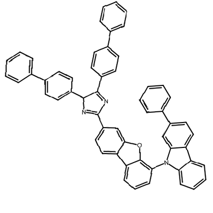 c1ccc(-c2ccc(C3=NC(c4ccc5c(c4)oc4c(-n6c7ccccc7c7ccc(-c8ccccc8)cc76)cccc45)=NC3c3ccc(-c4ccccc4)cc3)cc2)cc1